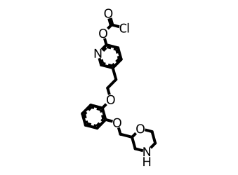 O=C(Cl)Oc1ccc(CCOc2ccccc2OCC2CNCCO2)cn1